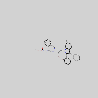 CC(C)(C)OC(=O)NCCN(Cc1ccccc1)[C@H]1COc2ccccc2-c2c(C3CCCCC3)c3ccc(C(=O)O)cc3n2C1